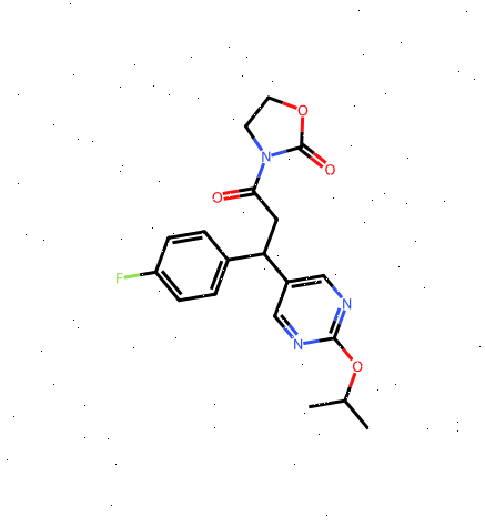 CC(C)Oc1ncc(C(CC(=O)N2CCOC2=O)c2ccc(F)cc2)cn1